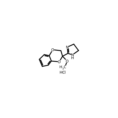 COC1(C2=NCCN2)COc2ccccc2O1.Cl